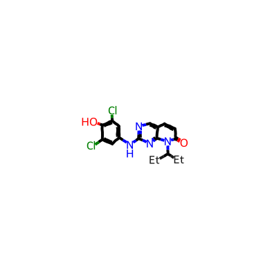 CCC(CC)n1c(=O)ccc2cnc(Nc3cc(Cl)c(O)c(Cl)c3)nc21